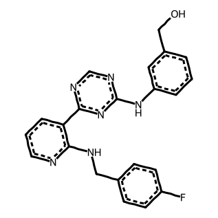 OCc1cccc(Nc2ncnc(-c3cccnc3NCc3ccc(F)cc3)n2)c1